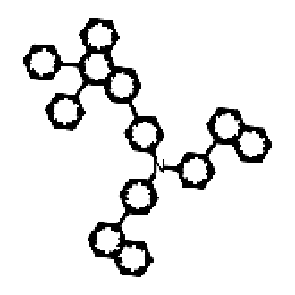 c1ccc(-c2c(-c3ccccc3)c3cc(-c4ccc(N(c5ccc(-c6cccc7ccccc67)cc5)c5cccc(-c6cccc7ccccc67)c5)cc4)ccc3c3ccccc23)cc1